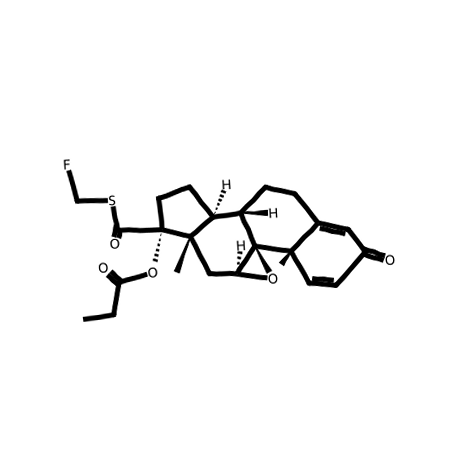 CCC(=O)O[C@]1(C(=O)SCF)CC[C@H]2[C@@H]3CCC4=CC(=O)C=C[C@]4(C)[C@@]34O[C@H]4C[C@@]21C